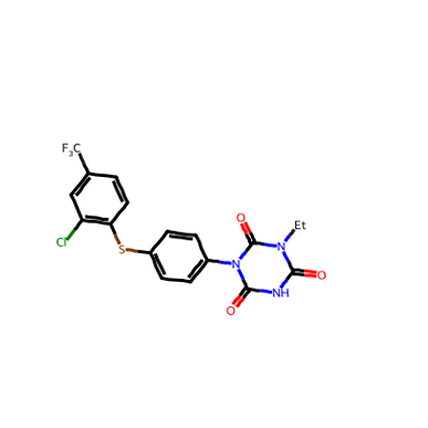 CCn1c(=O)[nH]c(=O)n(-c2ccc(Sc3ccc(C(F)(F)F)cc3Cl)cc2)c1=O